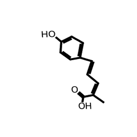 CC(=CC=Cc1ccc(O)cc1)C(=O)O